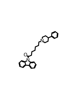 O=C(CCCCCCN1CCC(c2ccccc2)CC1)n1c2ccccc2c2ccccc21